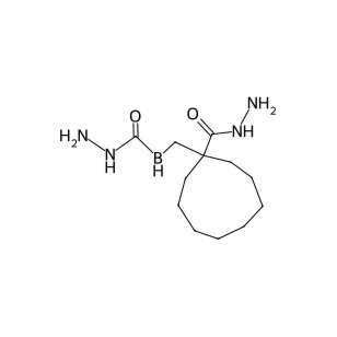 NNC(=O)BCC1(C(=O)NN)CCCCCCCC1